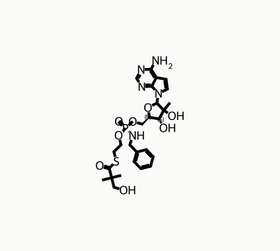 CC(C)(CO)C(=O)SCCOP(=O)(NCc1ccccc1)OC[C@H]1OC(n2ccc3c(N)ncnc32)C(C)(O)[C@H]1O